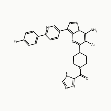 CCc1ccc(-c2ccc(-c3cnn4c(N)c(C(C)=O)c(C5CCN(C(=O)c6nnc[nH]6)CC5)nc34)cn2)cc1